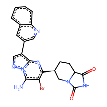 Nc1c(Br)c([C@H]2CCC3C(=O)NC(=O)N3C2)nc2c(-c3cnc4ccccc4c3)cnn12